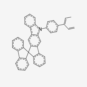 C=C/C(=C\C)c1ccc(-n2c3ccccc3c3cc4c(cc32)-c2ccccc2C42c3ccccc3-c3ccccc32)cc1